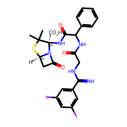 CC1(C)S[C@@H]2CC(=O)N2[C@@]1(NC(=O)C(NC(=O)CNC(=N)c1cc(I)cc(I)c1)c1ccccc1)C(=O)O